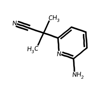 CC(C)(C#N)c1cccc(N)n1